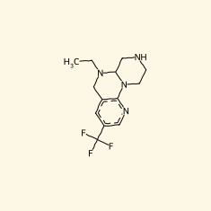 CCN1Cc2cc(C(F)(F)F)cnc2N2CCNCC12